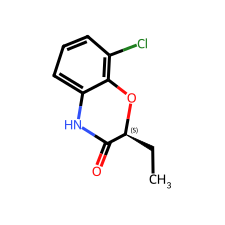 CC[C@@H]1Oc2c(Cl)cccc2NC1=O